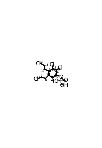 O=P(O)(O)Oc1cc(CCCl)c(CCCl)c(Cl)c1Cl